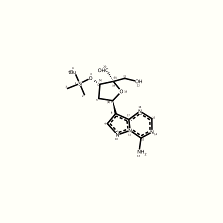 CC(C)(C)[Si](C)(C)O[C@H]1C[C@H](c2cnn3c(N)ncnc23)O[C@]1(C=O)CO